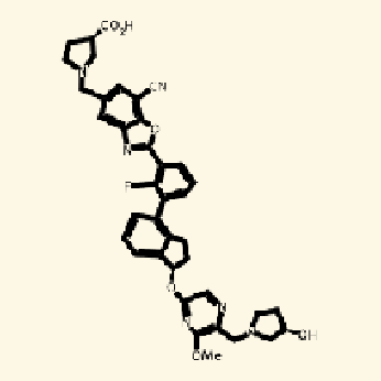 COc1nc(O[C@@H]2CCc3c(-c4cccc(-c5nc6cc(CN7CC[C@@H](C(=O)O)C7)cc(C#N)c6o5)c4F)cccc32)cnc1CN1CC[C@@H](O)C1